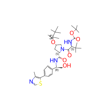 Cc1ncsc1-c1ccc([C@H](CO)NC(=O)[C@@H]2CC(O[Si](C)(C)C(C)(C)C)CN2C(=O)[C@@H](NC(=O)OC(C)(C)C)C(C)(C)C)cc1